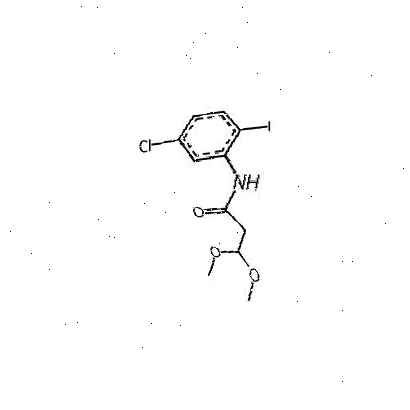 COC(CC(=O)Nc1cc(Cl)ccc1I)OC